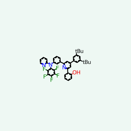 CC(C)(C)c1cc(-c2cc(-c3cccc(N(c4ccccn4)c4c(F)c(F)c(F)c(F)c4F)c3)nc(-c3ccccc3O)c2)cc(C(C)(C)C)c1